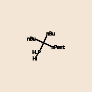 CCCCCC(P)(CCCC)CCCC.I